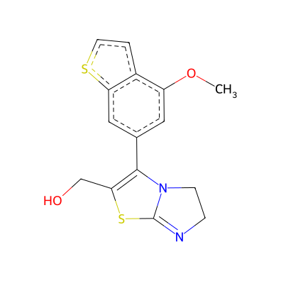 COc1cc(C2=C(CO)SC3=NCCN32)cc2sccc12